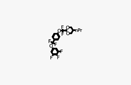 CCCC1COC(C(F)(F)Oc2ccc(C(F)(F)Oc3cc(F)c(F)c(F)c3)cc2)OC1